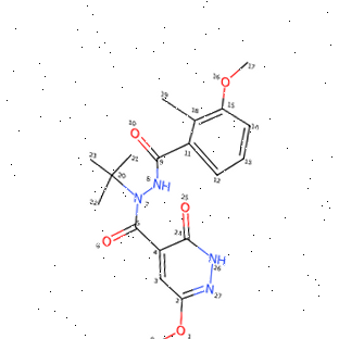 COc1cc(C(=O)N(NC(=O)c2cccc(OC)c2C)C(C)(C)C)c(=O)[nH]n1